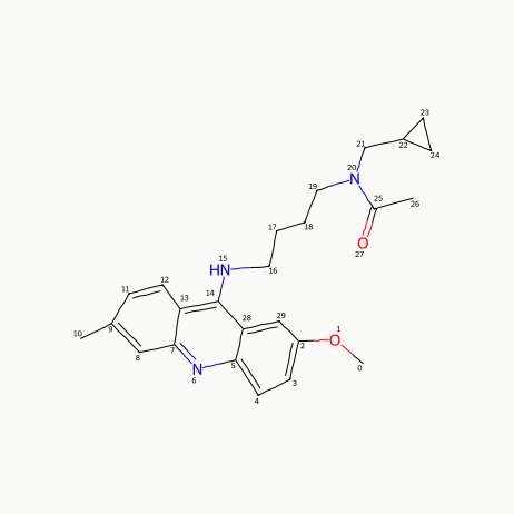 COc1ccc2nc3cc(C)ccc3c(NCCCCN(CC3CC3)C(C)=O)c2c1